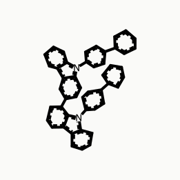 c1ccc(-c2ccc(-n3c4ccccc4c4cc(-c5cccc6c7ccccc7n(-c7ccc(-c8ccccc8)cc7)c56)ccc43)cc2)cc1